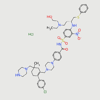 CCN(CCO)CC[C@H](CSc1ccccc1)Nc1ccc(S(=O)(=O)NC(=O)c2ccc(N3CCN(CC4=C(c5ccc(Cl)cc5)CCC(C)(CN5CCNCC5)C4)CC3)cc2)cc1[N+](=O)[O-].Cl